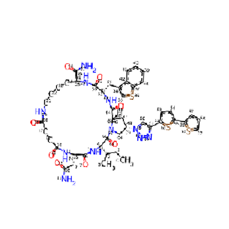 CCC(C)[C@@H]1NC(=O)[C@H](CC(N)=O)NC(=O)CCC(=O)NCCCC[C@@H](C(N)=O)NC(=O)[C@H](Cc2csc3ccccc23)NC(=O)[C@@H]2C[C@H](n3cc(-c4ccc(-c5cccs5)s4)nn3)CN2C1=O